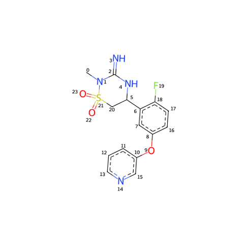 CN1C(=N)NC(c2cc(Oc3cccnc3)ccc2F)CS1(=O)=O